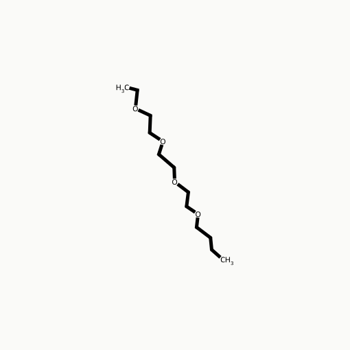 CCCCOCCOCCOCCOCC